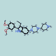 CCc1c(-c2ccc(OC)c(OC)c2)[nH]c2ccc(N3CCN(C4CCN(C)CC4)CC3)cc12